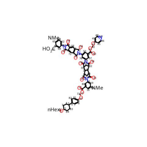 CCCCCCOC1CCC(c2ccc(OCOC(=O)c3cc(NC)cc(N4C(=O)C5CC(C4=O)C4C6CC(C(=O)N(c7cc(C(=O)OCOc8ccncc8)cc(-n8c(=O)c9cc%10c(=O)n(-c%11cc(NC)cc(C(=O)O)c%11)c(=O)c%10cc9c8=O)c7)C6=O)C54)c3)cc2)CC1